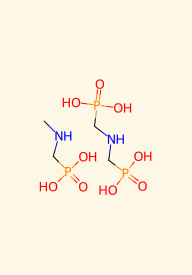 CNCP(=O)(O)O.O=P(O)(O)CNCP(=O)(O)O